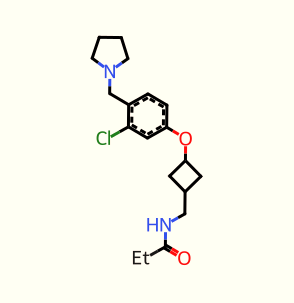 CCC(=O)NCC1CC(Oc2ccc(CN3CCCC3)c(Cl)c2)C1